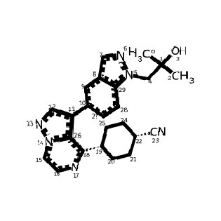 CC(C)(O)Cn1ncc2cc(-c3cnn4ccnc([C@H]5CC[C@@H](C#N)CC5)c34)ccc21